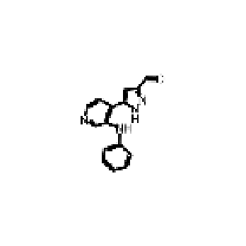 O=Cc1cc(-c2ccncc2Nc2ccccc2)[nH]n1